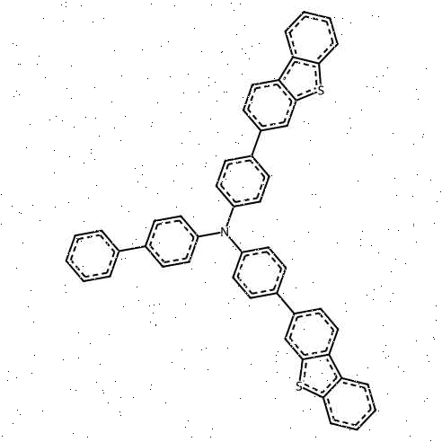 c1ccc(-c2ccc(N(c3ccc(-c4ccc5c(c4)sc4ccccc45)cc3)c3ccc(-c4ccc5c(c4)sc4ccccc45)cc3)cc2)cc1